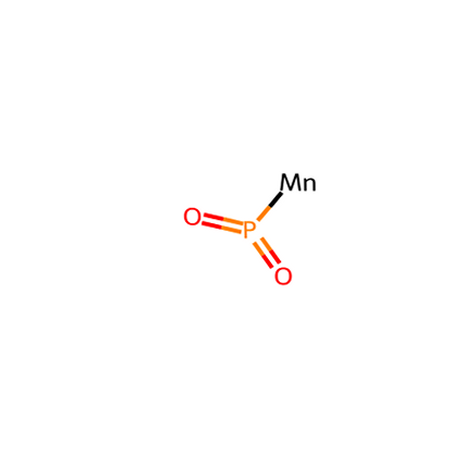 O=[P](=O)[Mn]